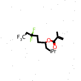 C=C(C)C(=O)OC(CCC(F)(F)CC(F)(F)F)CC(C)C